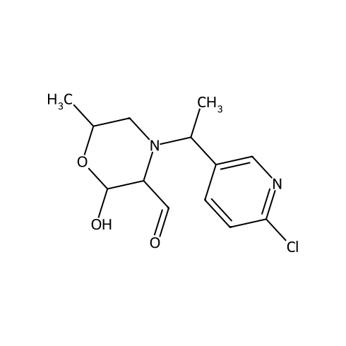 CC1CN(C(C)c2ccc(Cl)nc2)C(C=O)C(O)O1